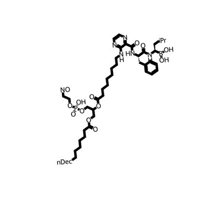 CCCCCCCCCCCCCCCCC(=O)OCC(COP(=O)(O)OCCN=O)OC(=O)CCCCCCCCNc1nccnc1C(=O)N[C@@H](Cc1ccccc1)C(=O)N[C@@H](CC(C)C)B(O)O